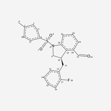 Cc1ccc(S(=O)(=O)N2C[C@H](Cc3ccccc3F)c3c(C=O)cccc32)cc1